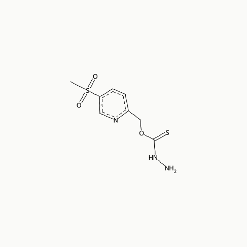 CS(=O)(=O)c1ccc(COC(=S)NN)nc1